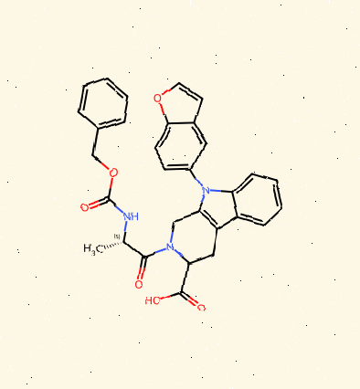 C[C@H](NC(=O)OCc1ccccc1)C(=O)N1Cc2c(c3ccccc3n2-c2ccc3occc3c2)CC1C(=O)O